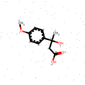 COc1ccc(C(C)(O)CC(=O)O)cc1